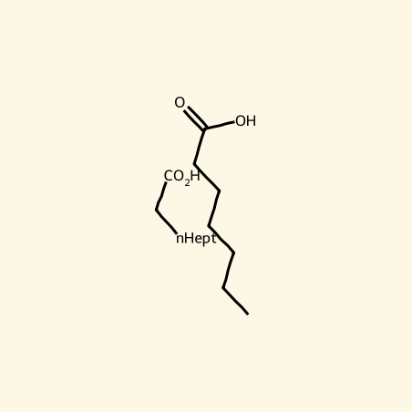 CCCCCCC(=O)O.CCCCCCCCC(=O)O